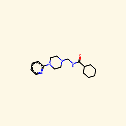 O=C(NCN1CCN(c2ccccn2)CC1)C1CCCCC1